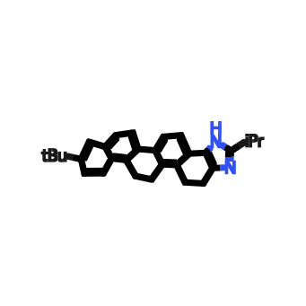 CC(C)c1nc2c([nH]1)-c1ccc3c(c1CC2)CCc1c-3ccc2cc(C(C)(C)C)ccc12